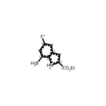 Bc1cc(F)cc2cc(C(=O)OCC)[nH]c12